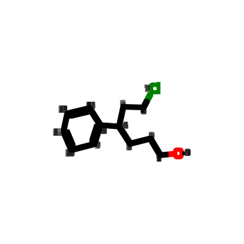 [O]CCCC(CCCl)c1ccccc1